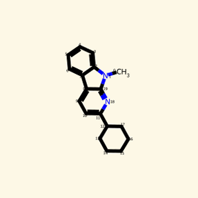 Cn1c2ccccc2c2ccc(C3CCCCC3)nc21